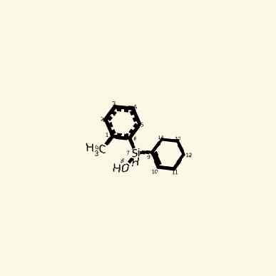 Cc1ccccc1[SiH](O)C1=CCCCC1